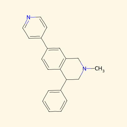 CN1Cc2cc(-c3ccncc3)ccc2C(c2ccccc2)C1